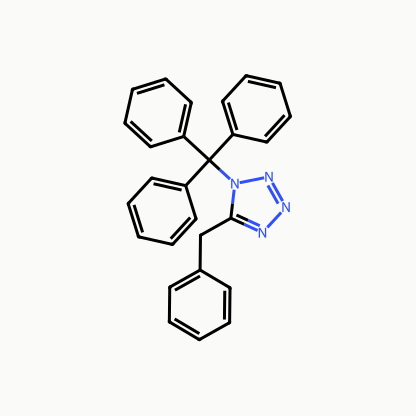 c1ccc(Cc2nnnn2C(c2ccccc2)(c2ccccc2)c2ccccc2)cc1